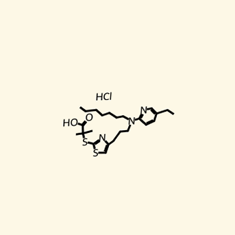 CCCCCCCN(CCCc1csc(SC(C)(C)C(=O)O)n1)c1ccc(CC)cn1.Cl